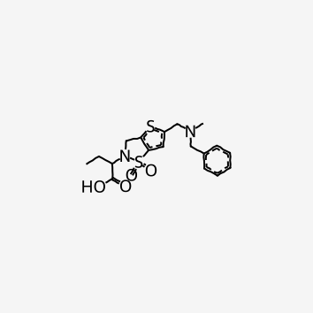 CCC(C(=O)O)N1Cc2sc(CN(C)Cc3ccccc3)cc2S1(=O)=O